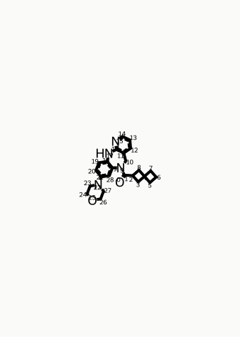 O=C(C1CC2(CCC2)C1)N1Cc2cccnc2Nc2ccc(N3CCOCC3)cc21